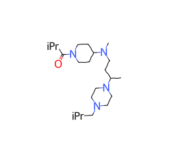 CC(C)CN1CCN(C(C)CCN(C)C2CCN(C(=O)C(C)C)CC2)CC1